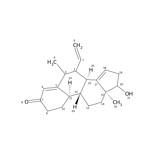 C=CC1C(C)C2=CC(=O)CC[C@@H]2[C@H]2CC[C@@]3(C)C(=CCC3O)[C@H]12